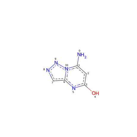 Nc1cc(O)nc2cnnn12